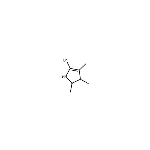 CC1=C(Br)NN(C)C1C